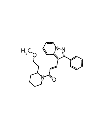 COCCC1CCCCN1C(=O)C=Cc1c(-c2ccccc2)nn2ccccc12